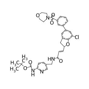 CC(C)(C)OC(=O)Nc1ccc(CNC(=O)C=CC2Cc3cc(-c4cccc(S(=O)(=O)N5CCOCC5)c4)cc(Cl)c3O2)cn1